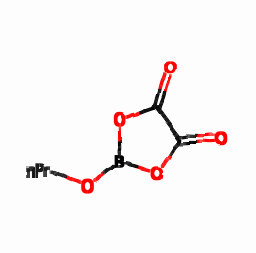 CCCOB1OC(=O)C(=O)O1